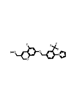 Fc1cc(OCc2ccc(-n3cccc3)c(C(F)(F)F)c2)cc2c1C=C(COI)CO2